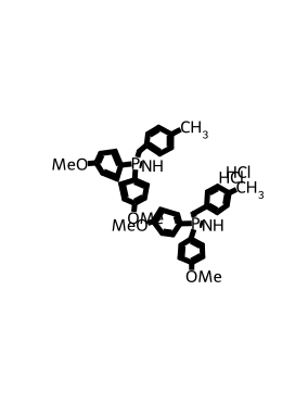 COc1ccc(P(=N)(Cc2ccc(C)cc2)c2ccc(OC)cc2)cc1.COc1ccc(P(=N)(Cc2ccc(C)cc2)c2ccc(OC)cc2)cc1.Cl.Cl